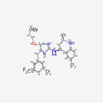 CC[C@@H]1C[C@H](Nc2ncc(OCCOC)c(Cc3cc(C(F)(F)F)cc(C(F)(F)F)c3)n2)c2cc(C(F)(F)F)ccc2N1